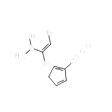 CCC=C(CC)P(C)C.[Cl-].[Cl-].[Cl-].[Zr+3][C]1=CCC=C1